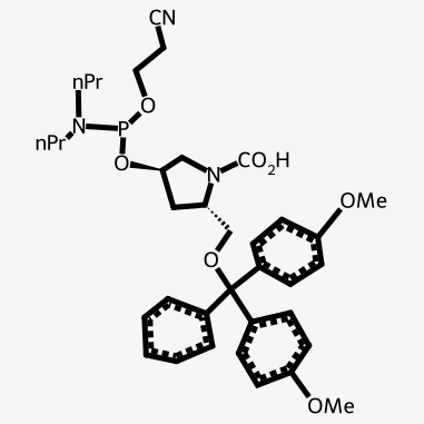 CCCN(CCC)P(OCCC#N)O[C@@H]1C[C@@H](COC(c2ccccc2)(c2ccc(OC)cc2)c2ccc(OC)cc2)N(C(=O)O)C1